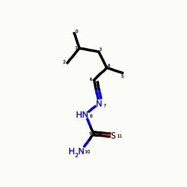 CC(C)CC(C)C=NNC(N)=S